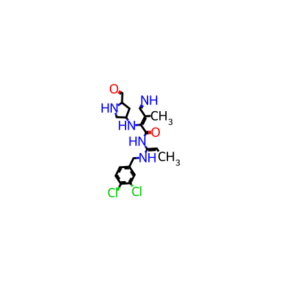 C/C=C(\NCc1ccc(Cl)c(Cl)c1)NC(=O)/C(NC1CNC(C=O)C1)=C(\C)C=N